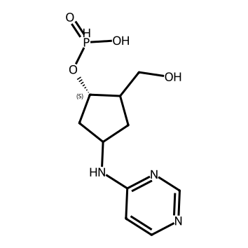 O=[PH](O)O[C@H]1CC(Nc2ccncn2)CC1CO